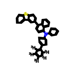 [2H]c1c([2H])c([2H])c(-c2ccc(N(c3ccccc3)c3ccc(-c4ccc5sc6ccccc6c5c4)c4ccccc34)cc2)c([2H])c1[2H]